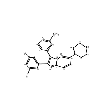 Cc1cc(-c2c(-c3cc(F)cc(F)c3)nc3ccc(N4CCNCC4)nn23)ccn1